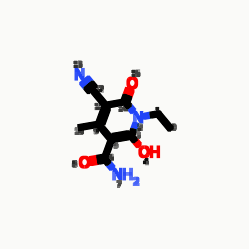 CCn1c(O)c(C(N)=O)c(C)c(C#N)c1=O